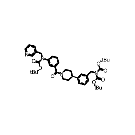 CC(C)(C)OC(=O)N(Cc1cccc(C2CCN(C(=O)c3cccc(N(Cc4cccnc4)C(=O)OC(C)(C)C)c3)CC2)c1)C(=O)OC(C)(C)C